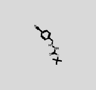 CC(C)(C)OC(=O)NNCc1ccc(C#N)cc1